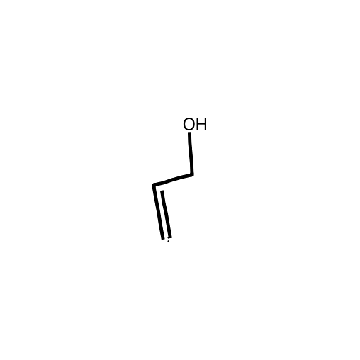 [C]=CCO